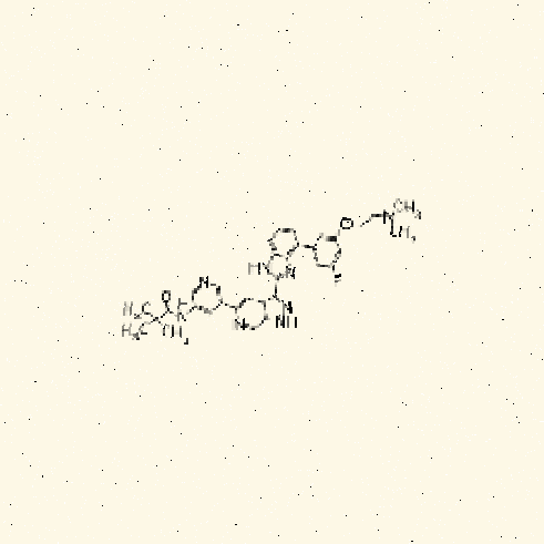 CN(C)CCOc1cc(F)cc(-c2cccc3[nH]c(-c4n[nH]c5cnc(-c6cncc(NC(=O)C(C)(C)C)c6)cc45)nc23)c1